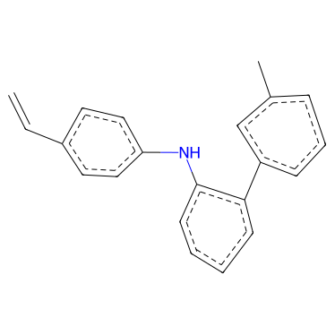 C=Cc1ccc(Nc2ccccc2-c2cccc(C)c2)cc1